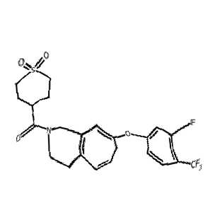 O=C(C1CCS(=O)(=O)CC1)N1CCc2ccc(Oc3ccc(C(F)(F)F)c(F)c3)cc2C1